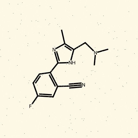 Cc1nc(-c2ccc(F)cc2C#N)[nH]c1CN(C)C